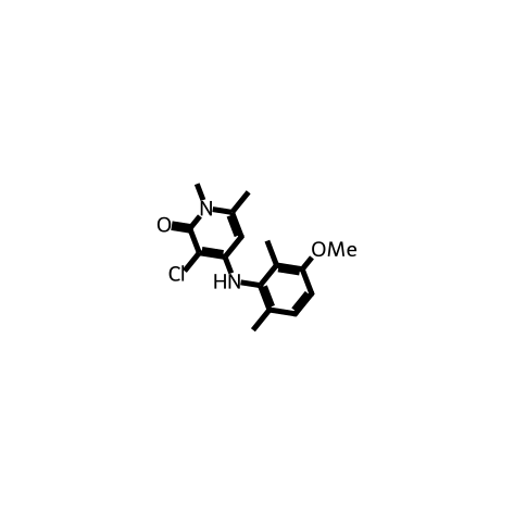 COc1ccc(C)c(Nc2cc(C)n(C)c(=O)c2Cl)c1C